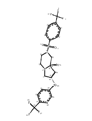 O=S(=O)(c1ccc(C(F)(F)F)cc1)N1CCN2C[C@@H](Oc3ccc(C(F)(F)F)nc3)C[C@H]2C1